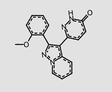 COc1ccccc1-c1nn2ccccc2c1-c1ccc(=O)[nH]n1